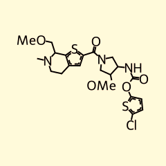 COCC1c2sc(C(=O)N3CC(NC(=O)Oc4ccc(Cl)s4)C(OC)C3)cc2CCN1C